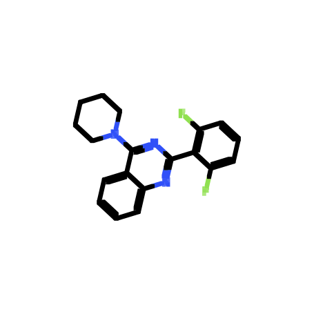 Fc1cccc(F)c1-c1nc(N2CCCCC2)c2ccccc2n1